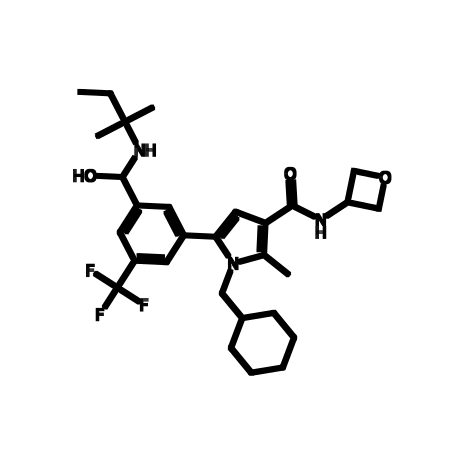 CCC(C)(C)NC(O)c1cc(-c2cc(C(=O)NC3COC3)c(C)n2CC2CCCCC2)cc(C(F)(F)F)c1